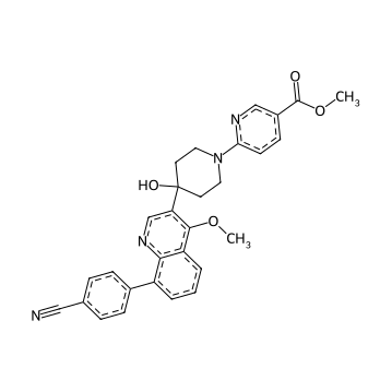 COC(=O)c1ccc(N2CCC(O)(c3cnc4c(-c5ccc(C#N)cc5)cccc4c3OC)CC2)nc1